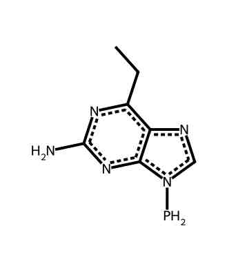 CCc1nc(N)nc2c1ncn2P